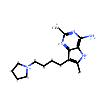 CCCCc1nc(N)c2[nH]c(C)c(CCCCN3CCCC3)c2n1